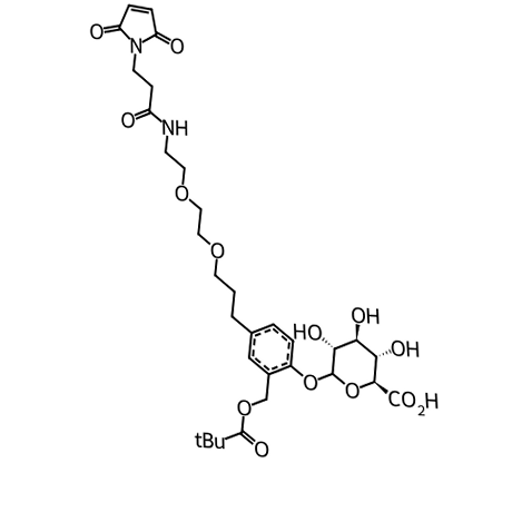 CC(C)(C)C(=O)OCc1cc(CCCOCCOCCNC(=O)CCN2C(=O)C=CC2=O)ccc1OC1O[C@H](C(=O)O)[C@@H](O)[C@H](O)[C@H]1O